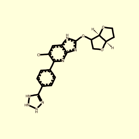 Clc1cc2[nH]c(OC3CO[C@@H]4CCO[C@H]34)nc2nc1-c1ccc(C2=NNNN2)cc1